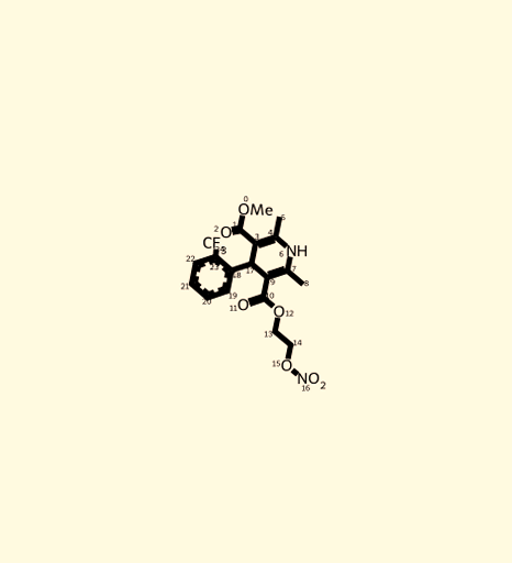 COC(=O)C1=C(C)NC(C)=C(C(=O)OCCO[N+](=O)[O-])C1c1ccccc1C(F)(F)F